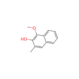 COc1c(O)c(C)cc2ccccc12